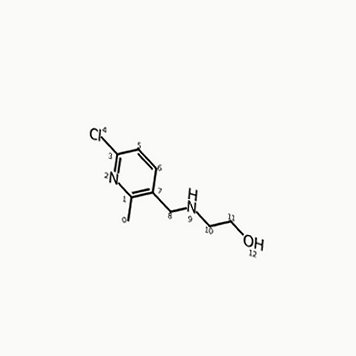 Cc1nc(Cl)ccc1CNCCO